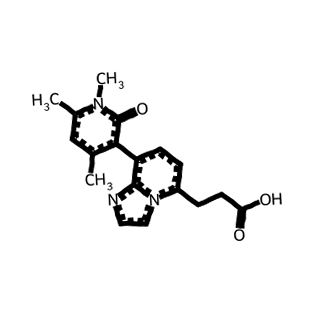 Cc1cc(C)n(C)c(=O)c1-c1ccc(CCC(=O)O)n2ccnc12